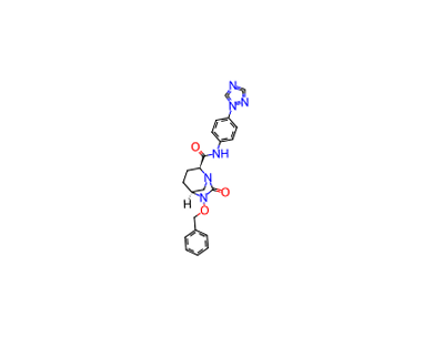 O=C(Nc1ccc(-n2cncn2)cc1)[C@@H]1CC[C@H]2CN1C(=O)N2OCc1ccccc1